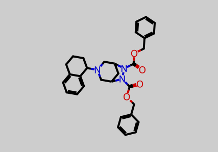 O=C(OCc1ccccc1)N1C2CC(CN(C3CCCc4ccccc43)C2)N1C(=O)OCc1ccccc1